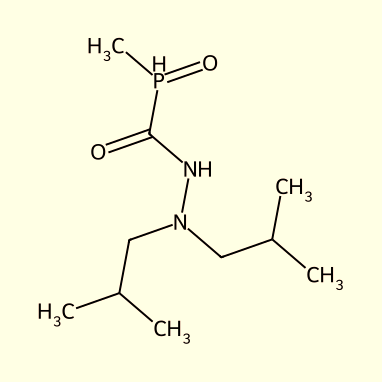 CC(C)CN(CC(C)C)NC(=O)[PH](C)=O